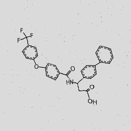 O=C(O)CC(NC(=O)c1ccc(Oc2ccc(C(F)(F)F)cc2)cc1)c1ccc(-c2ccccc2)cc1